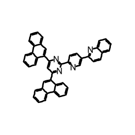 c1ccc2nc(-c3ccc(-c4nc(-c5cc6ccccc6c6ccccc56)cc(-c5cc6ccccc6c6ccccc56)n4)nc3)ccc2c1